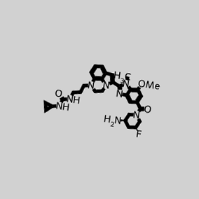 COc1cc(C(=O)N2C[C@H](N)C[C@@H](F)C2)cc2nc(-c3cc4cccc5c4n3CCN5CCCNC(=O)NC3CC3)n(C)c12